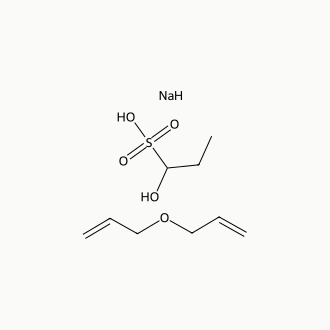 C=CCOCC=C.CCC(O)S(=O)(=O)O.[NaH]